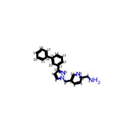 NCc1ccc(Cn2ccc(-c3cccc(-c4ccccc4)c3)n2)cn1